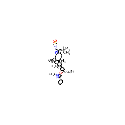 C=C(C)[C@@H]1CC[C@]2(NCCN3CCS(=O)(=O)CC3)CC[C@@H](C)[C@]3(C)CCC4C(C)(C)C(C5=CCC(COc6cc(-c7ccccc7)nn6C)(C(=O)OCC)CC5)=CC[C@]4(C)C3CCCC12